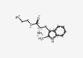 Cc1[nH]c2ccccc2c1C[C@H](N)C(=O)OCCC(C)C